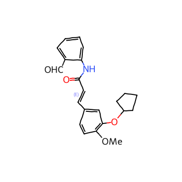 COc1ccc(/C=C/C(=O)Nc2ccccc2C=O)cc1OC1CCCC1